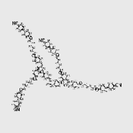 CC(Sc1ccc(OCC(Cc2ccc(OCCCCCCOc3ccc(-c4ccc(C#N)cc4)cc3)cc2)Sc2ccc(OCCCCCCOc3ccc(-c4ccc(C#N)cc4)cc3)cc2)cc1)Sc1ccc(OCC(Sc2ccc(OCCCCCCOc3ccc(-c4ccc(C#N)cc4)cc3)cc2)Sc2ccc(OCCCCCCOc3ccc(-c4ccc(C#N)cc4)cc3)cc2)cc1